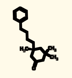 CC1(C)CC(=O)C[C@](C)(CCCCc2ccccc2)C1